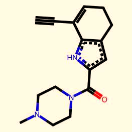 C#CC1=CCCc2cc(C(=O)N3CCN(C)CC3)[nH]c21